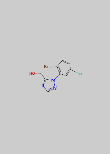 OCc1ncnn1-c1cc(F)ccc1Br